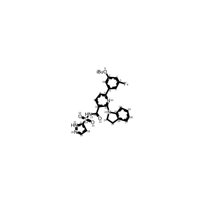 CC(C)COc1cc(F)cc(-c2ccc(C(=O)NS(=O)(=O)c3ccn[nH]3)c(N3CCc4ccccc43)n2)c1